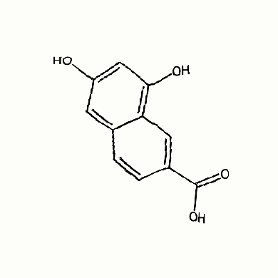 O=C(O)c1ccc2cc(O)cc(O)c2c1